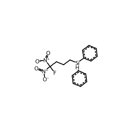 O=[N+]([O-])C(F)(CCC[SiH](c1ccccc1)c1ccccc1)[N+](=O)[O-]